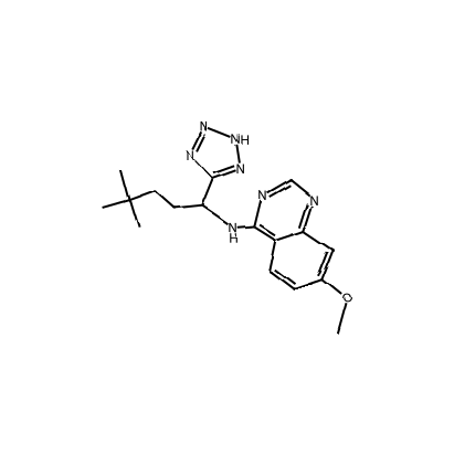 COc1ccc2c(NC(CCC(C)(C)C)c3nn[nH]n3)ncnc2c1